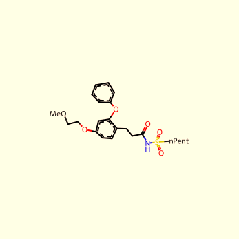 CCCCCS(=O)(=O)NC(=O)CCc1ccc(OCCOC)cc1Oc1ccccc1